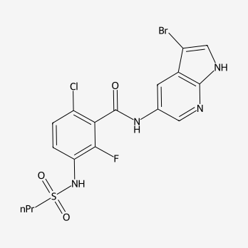 CCCS(=O)(=O)Nc1ccc(Cl)c(C(=O)Nc2cnc3[nH]cc(Br)c3c2)c1F